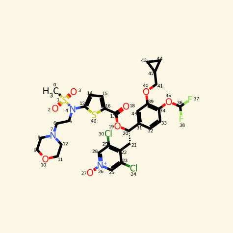 CS(=O)(=O)N(CCN1CCOCC1)c1ccc(C(=O)O[C@@H](Cc2c(Cl)c[n+]([O-])cc2Cl)c2ccc(OC(F)F)c(OCC3CC3)c2)s1